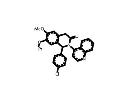 COc1cc2c(cc1OC(C)C)C(c1ccc(Cl)cc1)N(c1ccnc3ccccc13)C(=O)C2